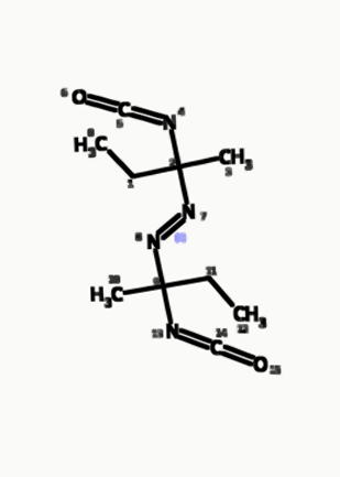 CCC(C)(N=C=O)/N=N/C(C)(CC)N=C=O